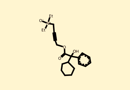 CC[N+]([O-])(CC)CC#CCOC(=O)C(O)(c1ccccc1)C1CCCCC1